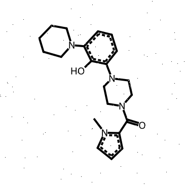 Cn1cccc1C(=O)N1CCN(c2cccc(N3CCCCC3)c2O)CC1